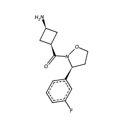 N[C@H]1C[C@@H](C(=O)N2OCC[C@H]2c2cccc(F)c2)C1